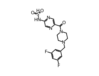 O=C(c1cnc(N[SH](=O)=O)cn1)N1CCN(Cc2cc(F)cc(F)c2)CC1